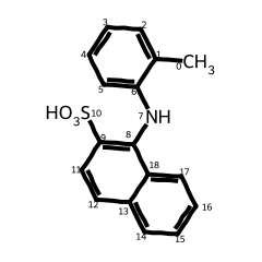 Cc1ccccc1Nc1c(S(=O)(=O)O)ccc2ccccc12